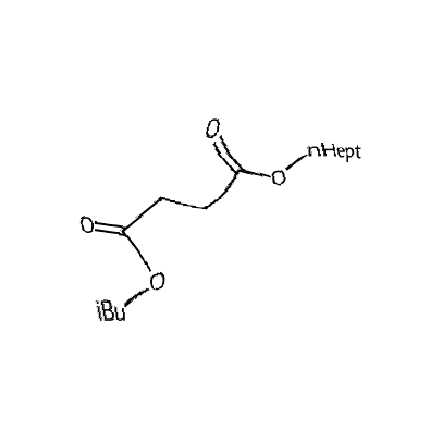 CCCCCCCOC(=O)CCC(=O)OC(C)CC